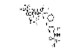 COCP(=O)(NC(=O)c1cc2c(Oc3ccc(NC(=O)NC4CC4)c(Cl)c3)ccnc2cc1OC)N[C@@H](C)C(=O)O